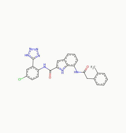 O=C(Cc1ccccc1C(F)(F)F)Nc1cccc2cc(C(=O)Nc3ccc(Cl)cc3-c3nnn[nH]3)[nH]c12